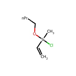 C=C[Si](C)(Cl)OCCCC